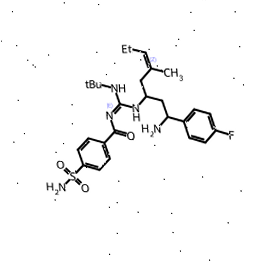 CC/C=C(/C)CC(CC(N)c1ccc(F)cc1)N/C(=N\C(=O)c1ccc(S(N)(=O)=O)cc1)NC(C)(C)C